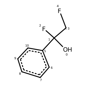 OC(F)([CH]F)c1ccccc1